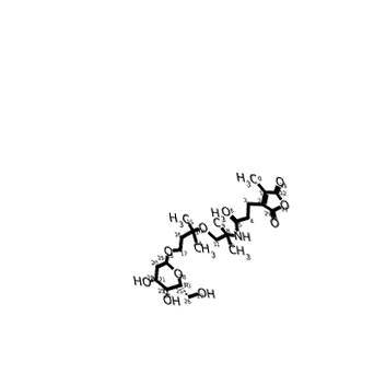 CC1=C(CCC(=O)NC(C)(C)COC(C)(C)CCOC2C[C@@H](O)[C@@H](O)[C@@H](CO)O2)C(=O)OC1=O